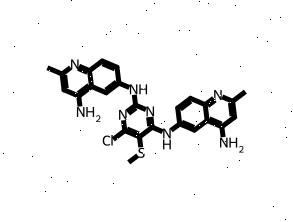 CSc1c(Cl)nc(Nc2ccc3nc(C)cc(N)c3c2)nc1Nc1ccc2nc(C)cc(N)c2c1